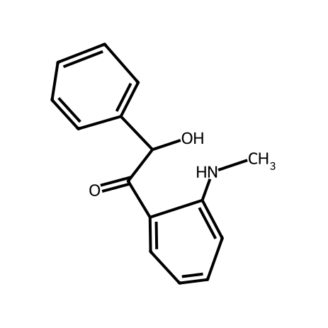 CNc1ccccc1C(=O)C(O)c1ccccc1